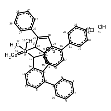 CC1=Cc2c(-c3ccccc3)cccc2[CH]1[Zr]([CH3])([CH3])(=[GeH2])[CH]1C(c2ccccc2)=Cc2c(-c3ccccc3)cccc21.Cl.Cl